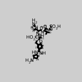 CC1(C)[C@H](NC(=O)/C(=N\O[C@](C)(C(=O)O)[C@H]2CCc3cc(C(=N)N[C@H]4CC[C@@H](N)C4)ccc3O2)c2csc(N)n2)C(=O)N1OS(=O)(=O)O